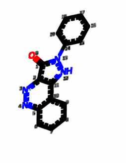 O=c1c2nnc3ccccc3c2[nH]n1-c1ccccc1